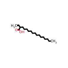 C=CC(CCCCCCCCCCCCCCC)C(=O)O